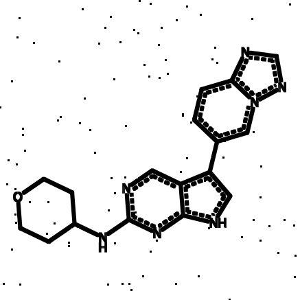 c1nc2ccc(-c3c[nH]c4nc(NC5CCOCC5)ncc34)cn2n1